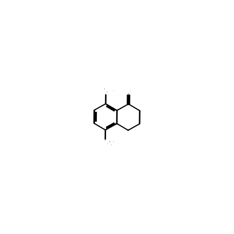 COc1ccc([N+](=O)[O-])c2c1CCCC2=O